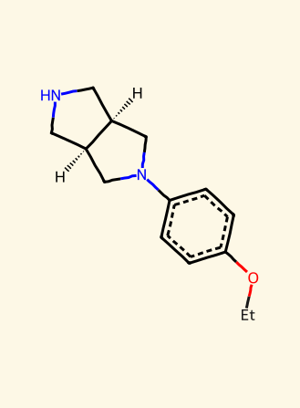 CCOc1ccc(N2C[C@H]3CNC[C@H]3C2)cc1